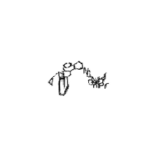 CCCS(=O)(=O)NC1CN(c2ccc3c(c2)[C@@H](Cc2ccccc2)[C@@H](NCC2CC2)CO3)C1